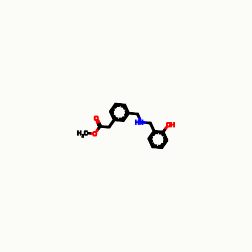 COC(=O)Cc1cccc(CNCc2ccccc2O)c1